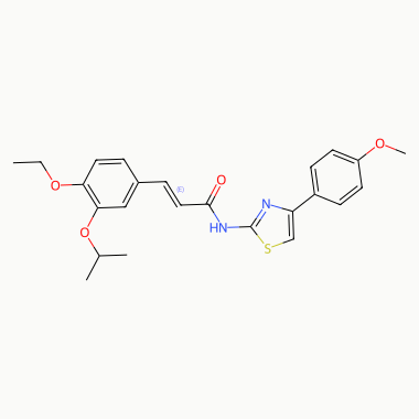 CCOc1ccc(/C=C/C(=O)Nc2nc(-c3ccc(OC)cc3)cs2)cc1OC(C)C